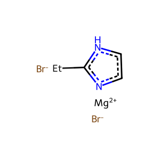 CCc1ncc[nH]1.[Br-].[Br-].[Mg+2]